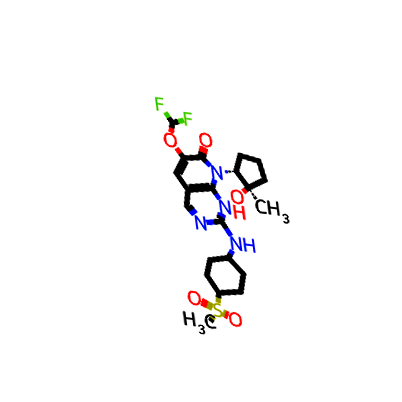 C[C@@]1(O)CCC[C@H]1n1c(=O)c(OC(F)F)cc2cnc(NC3CCC(S(C)(=O)=O)CC3)nc21